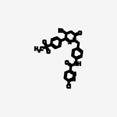 CCC1CC(=O)N(Cc2ccc(NC(=O)c3ccc(Cl)nn3)cc2)N=C1c1ccc(S(C)(=O)=O)cc1